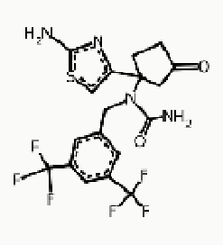 NC(=O)N(Cc1cc(C(F)(F)F)cc(C(F)(F)F)c1)C1(c2csc(N)n2)CCC(=O)C1